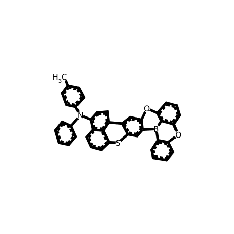 Cc1ccc(N(c2ccccc2)c2ccc3c4c(cccc24)Sc2cc4c(cc2-3)Oc2cccc3c2B4c2ccccc2O3)cc1